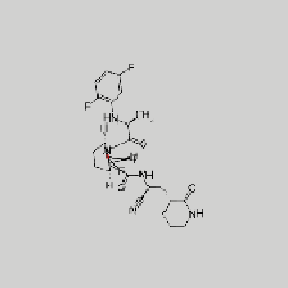 C[C@H](Nc1cc(F)ccc1F)C(=O)N1[C@@H]2CC[C@H]([C@H]1C(=O)N[C@H](C#N)C[C@H]1CCCNC1=O)C(F)(F)C2